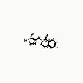 Cc1[nH]cnc1CN1CCc2ccccc2C1=O